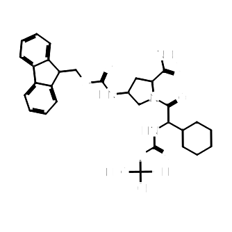 CC(C)(C)OC(=O)NC(C(=O)N1CC(NC(=O)OCC2c3ccccc3-c3ccccc32)CC1C(N)=O)C1CCCCC1